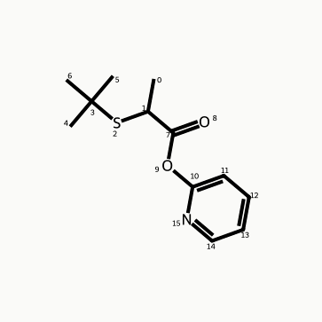 CC(SC(C)(C)C)C(=O)Oc1ccccn1